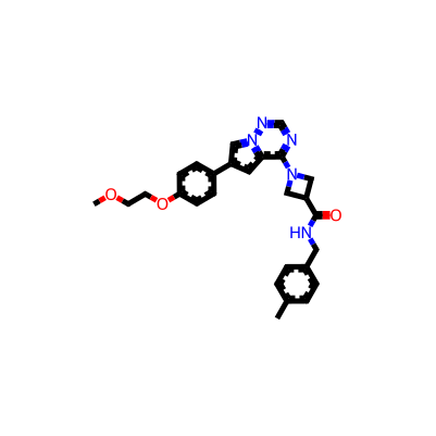 COCCOc1ccc(-c2cc3c(N4CC(C(=O)NCc5ccc(C)cc5)C4)ncnn3c2)cc1